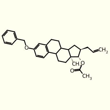 C=CC[C@@H]1CC2C3CCc4cc(OCc5ccccc5)ccc4C3CC[C@]2(C)[C@H]1OC(C)=O